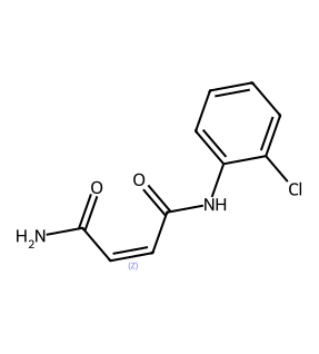 NC(=O)/C=C\C(=O)Nc1ccccc1Cl